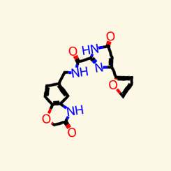 O=C1COc2ccc(CNC(=O)c3nc(-c4ccco4)cc(=O)[nH]3)cc2N1